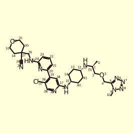 C[C@@H](COCc1nnnn1C)N[C@H]1CC[C@H](Nc2cc(-c3cccc(NCC4(C#N)CCOCC4)n3)c(Cl)cn2)CC1